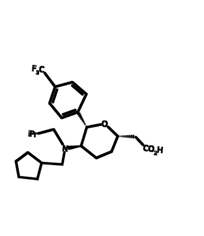 CC(C)CN(CC1CCCC1)[C@@H]1CC[C@@H](CC(=O)O)O[C@H]1c1ccc(C(F)(F)F)cc1